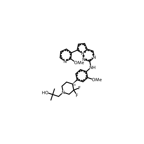 COc1cc([C@@H]2CCN(CC(C)(C)O)CC2(F)F)ccc1Nc1ncc2ccc(-c3cccnc3OC)n2n1